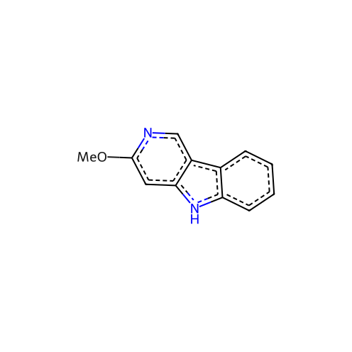 COc1cc2[nH]c3ccccc3c2cn1